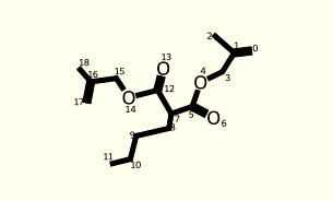 C=C(C)COC(=O)C(CCCC)C(=O)OCC(=C)C